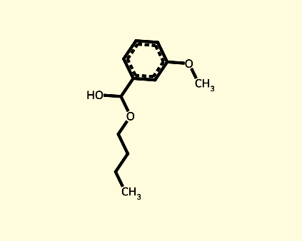 CCCCOC(O)c1cccc(OC)c1